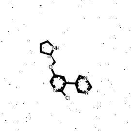 Clc1ncc(OC[C@H]2CCCN2)cc1-c1cncnc1